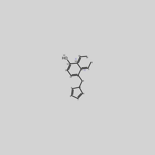 C/C=c1/c(CC2C=CC=C2)ccc(O)/c1=C/C